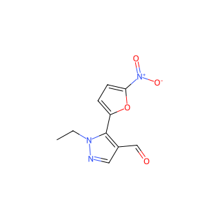 CCn1ncc(C=O)c1-c1ccc([N+](=O)[O-])o1